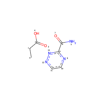 CCC(=O)O.NC(=O)c1nccnn1